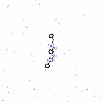 O=C(NCCCc1ccccc1)c1cccc(Nc2cnc(-c3ccccc3)cn2)c1